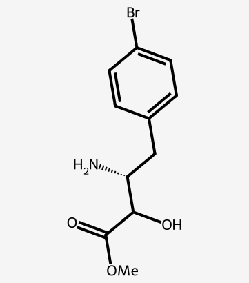 COC(=O)C(O)[C@H](N)Cc1ccc(Br)cc1